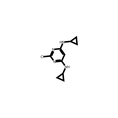 Clc1nc(NC2CC2)cc(NC2CC2)n1